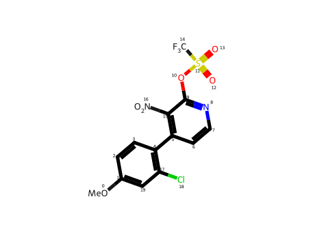 COc1ccc(-c2ccnc(OS(=O)(=O)C(F)(F)F)c2[N+](=O)[O-])c(Cl)c1